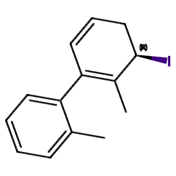 CC1=C(c2ccccc2C)C=CC[C@H]1I